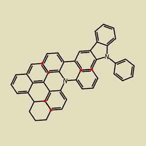 c1ccc(N(c2ccccc2-c2ccc3c(c2)c2ccccc2n3-c2ccccc2)c2ccccc2-c2cccc3cccc(C4CCCCC4)c23)cc1